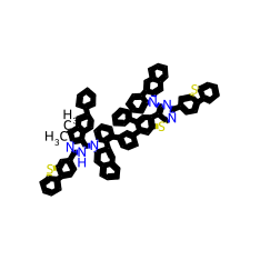 CC1(C)C2=C(c3ccc(-c4ccccc4)cc31)C(n1c3cc4ccccc4cc3c3c(-c4cccc(-c5cc6sc7nc(-c8ccc9c(c8)sc8ccccc89)nc(-n8c9ccccc9c9cc%10ccccc%10cc98)c7c6cc5-c5ccccc5)c4)cccc31)NC(c1ccc3c(c1)sc1ccccc13)=N2